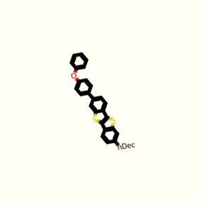 CCCCCCCCCCc1ccc2c(c1)sc1c3ccc(-c4ccc(Oc5ccccc5)cc4)cc3sc21